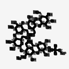 O=S(=O)([O-])[O-].OC[C@H]1O[C@H](O[C@H]2[C@H](O)[C@@H](O)[C@@H](O[C@H]3[C@H](O)[C@@H](O)[C@@H](O[C@H]4[C@H](O)[C@@H](O)[C@@H](O[C@H]5[C@H](O)[C@@H](O)[C@@H](O[C@H]6[C@H](O)[C@@H](O)[C@@H](O)O[C@@H]6CO)O[C@@H]5CO)O[C@@H]4CO)O[C@@H]3CO)O[C@@H]2CO)[C@H](O)[C@@H](O)[C@@H]1O.[Na+].[Na+]